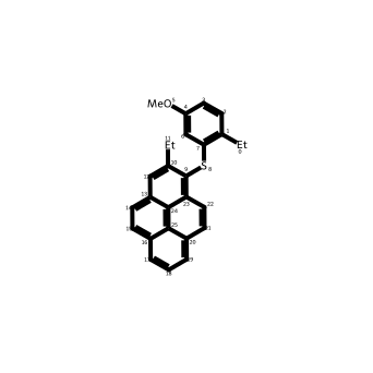 CCc1ccc(OC)cc1Sc1c(CC)cc2ccc3cccc4ccc1c2c34